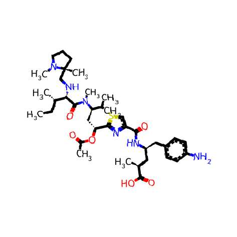 CC[C@H](C)[C@H](NC[C@@]1(C)CCCN1C)C(=O)N(C)[C@H](C[C@@H](OC(C)=O)c1nc(C(=O)N[C@@H](Cc2ccc(N)cc2)C[C@H](C)C(=O)O)cs1)C(C)C